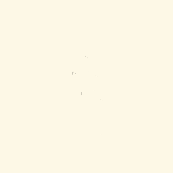 CC1CCCC(C)N1C(=N)NC(=N)Nc1ccc(F)c(C(F)(F)F)c1